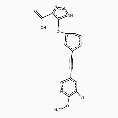 COc1ncc(C#Cc2cccc(Oc3[nH]nnc3C(=O)O)c2)cc1Cl